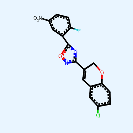 O=[N+]([O-])c1ccc(F)c(-c2nc(C3=Cc4cc(Cl)ccc4OC3)no2)c1